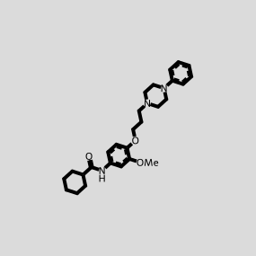 COc1cc(NC(=O)C2CCCCC2)ccc1OCCCN1CCN(c2ccccc2)CC1